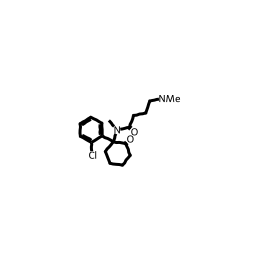 CNCCCC(=O)N(C)C1(c2ccccc2Cl)CCCCC1=O